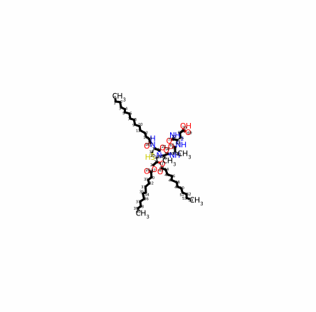 CCCCCCCCCCCCCCCC(=O)N[C@@H](CS)C(=O)N(C[C@H](COC(=O)CCCCCCCCCCC)OC(=O)CCCCCCCCCCC)[C@H](C)C(=O)N[C@@H](C)C(=O)N[C@H](CCC(=O)O)C(N)=O